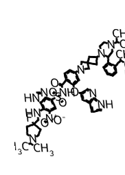 CC(C)c1ccccc1C1CN(C(C)C)CCN1C1CC2(C1)CN(c1ccc(C(=O)NS(=O)(=O)c3cc([N+](=O)[O-])c(NCC4(F)CCN(C(C)C)CC4)c4[nH]cnc34)c(Oc3cnc4[nH]ccc4c3)c1)C2